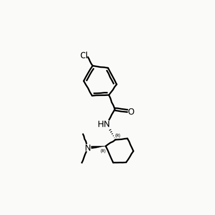 CN(C)[C@@H]1CCCC[C@H]1NC(=O)c1ccc(Cl)cc1